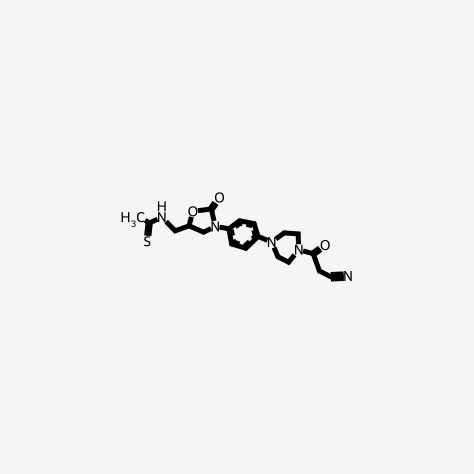 CC(=S)NCC1CN(c2ccc(N3CCN(C(=O)CC#N)CC3)cc2)C(=O)O1